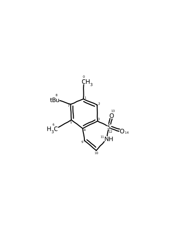 Cc1cc2c(c(C)c1C(C)(C)C)C=CNS2(=O)=O